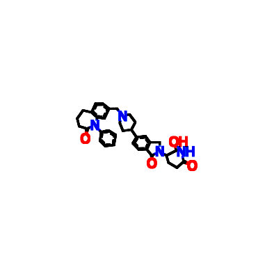 O=C1CCC(N2Cc3cc(C4CCN(Cc5ccc6c(c5)N(c5ccccc5)C(=O)CCC6)CC4)ccc3C2=O)C(O)N1